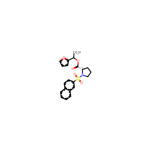 O=C(O)C(OC(=O)[C@@H]1CCCN1S(=O)(=O)c1ccc2ccccc2c1)c1ccco1